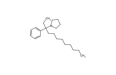 CCCCCCCCCC(CC)(c1ccccc1)N1CCCC1